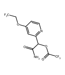 NC(=O)C(OC(=O)C(F)(F)F)c1cc(OCC(F)(F)F)ccn1